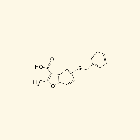 Cc1oc2ccc(SCc3ccccc3)cc2c1C(=O)O